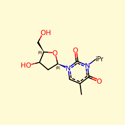 Cc1cn([C@H]2CC(O)[C@@H](CO)O2)c(=O)n(C(C)C)c1=O